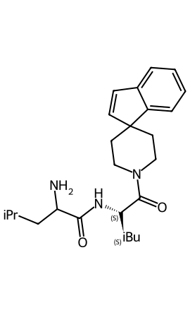 CC[C@H](C)[C@H](NC(=O)C(N)CC(C)C)C(=O)N1CCC2(C=Cc3ccccc32)CC1